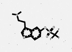 CN(C)CCc1coc2ccc(OS(=O)(=O)C(F)(F)F)cc12